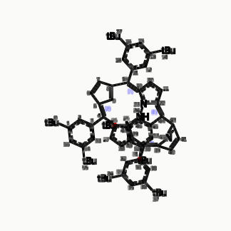 CC(C)(C)c1cc(/C2=C3\C=CC(=C3)/C(c3cc(C(C)(C)C)cc(C(C)(C)C)c3)=c3/cc/c4n3Nn3c2ccc3/C(c2cc(C(C)(C)C)cc(C(C)(C)C)c2)=C2/C=CC(=N2)/C=4c2cc(C(C)(C)C)cc(C(C)(C)C)c2)cc(C(C)(C)C)c1